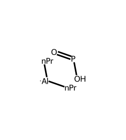 CC[CH2][Al][CH2]CC.O=PO